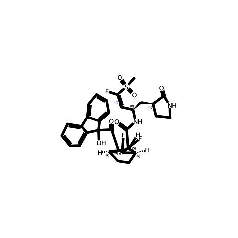 CS(=O)(=O)/C(F)=C\[C@@H](C[C@@H]1CCNC1=O)NC(=O)[C@@H]1[C@H]2CC[C@H](CC2(F)F)N1C(=O)C1(O)c2ccccc2-c2ccccc21